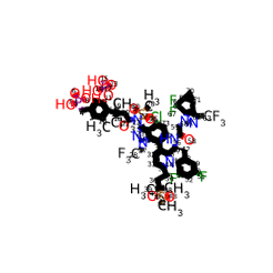 Cc1cc(CP(=O)(O)O)cc(OP(=O)(O)O)c1C(C)(C)CC(=O)N(c1nn(CC(F)(F)F)c2c(-c3ccc(CCC(C)(C)S(C)(=O)=O)nc3[C@H](Cc3cc(F)cc(F)c3)NC(=O)Cn3nc(C(F)(F)F)c4c3C(F)(F)C3CC43)ccc(Cl)c12)S(C)(=O)=O